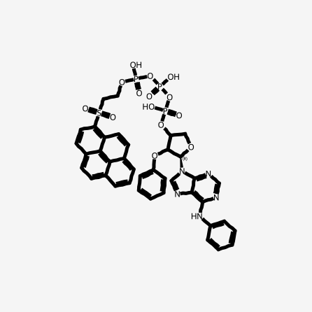 O=P(O)(OCCS(=O)(=O)c1ccc2ccc3cccc4ccc1c2c34)OP(=O)(O)OP(=O)(O)OC1CO[C@@H](n2cnc3c(Nc4ccccc4)ncnc32)C1Oc1ccccc1